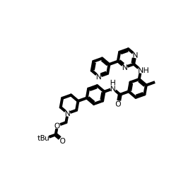 Cc1ccc(C(=O)Nc2ccc(C3CCCN(COC(=O)C(C)(C)C)C3)cc2)cc1Nc1nccc(-c2cccnc2)n1